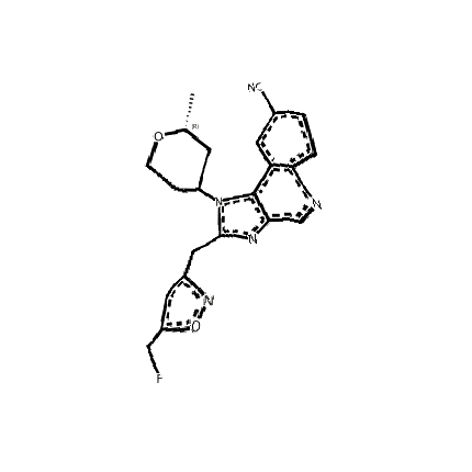 C[C@@H]1CC(n2c(Cc3cc(CF)on3)nc3cnc4ccc(C#N)cc4c32)CCO1